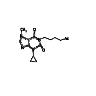 CC(=O)CCCCn1c(=O)c2c(ncn2C)n(C2CC2)c1=O